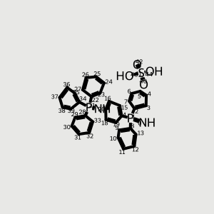 N=P(c1ccccc1)(c1ccccc1)c1ccccc1.N=P(c1ccccc1)(c1ccccc1)c1ccccc1.O=S(=O)(O)O